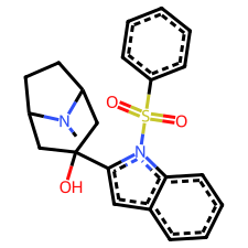 CN1C2CCC1CC(O)(c1cc3ccccc3n1S(=O)(=O)c1ccccc1)C2